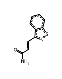 NC(=O)C=Cc1nsc2ccccc12